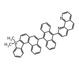 C[Si]1(C)c2ccccc2-c2c1ccc1cc(-c3c4ccccc4c(-c4ccc5ccc6cccnc6c5n4)c4ccccc34)c3ccccc3c21